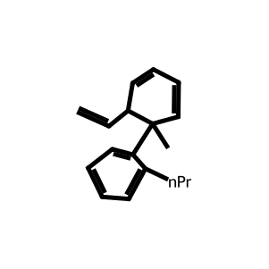 C=CC1C=CC=CC1(C)c1ccccc1CCC